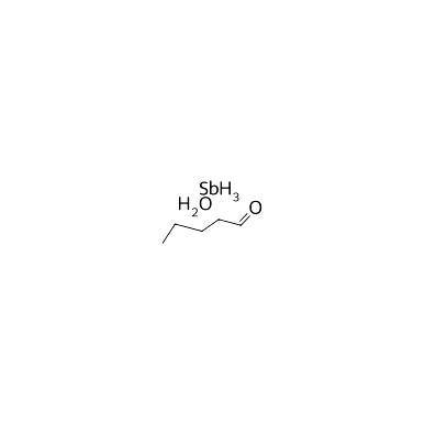 CCCCC=O.O.[SbH3]